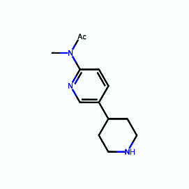 CC(=O)N(C)c1ccc(C2CCNCC2)cn1